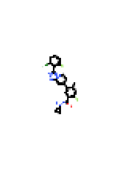 Cc1cc(F)c(C(=O)NC2CC2)cc1-c1ccn2c(-c3c(F)cccc3Cl)nnc2c1